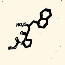 COC(=O)[C@H]1CCCN1C(=O)CC(Cc1cccc2ccccc12)C(=O)O